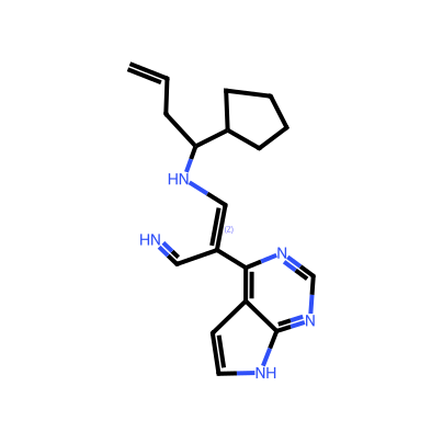 C=CCC(N/C=C(\C=N)c1ncnc2[nH]ccc12)C1CCCC1